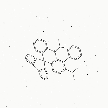 CC(C)c1ccc2c(c1-c1ccccc1)P(C(C)C)c1ccccc1C21c2ccccc2-c2ccccc21